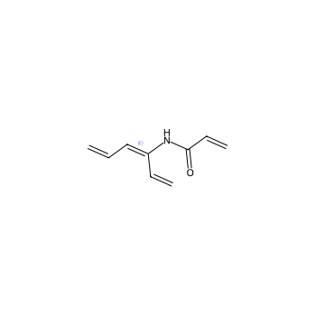 C=C/C=C(\C=C)NC(=O)C=C